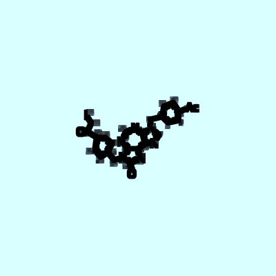 CC(=O)c1ccc(Cn2cnc3c4nc(=O)n(Cc5ccc(C(=O)CI)cc5)c-4ncnc32)cc1